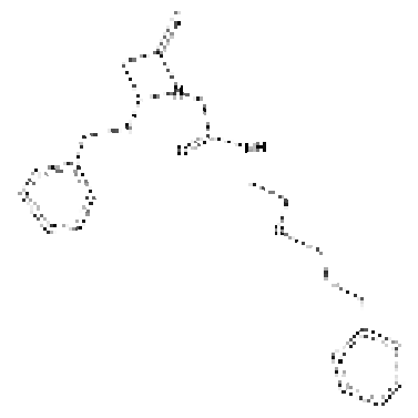 O=C(CN1C(=O)CC1SCc1ccccc1)NCCOCCCc1ccccc1